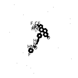 C[C@]12C[C@H](c3ccc(C#CCNC(=O)Nc4ccc(F)cc4)cc3)C3=C4CCC(=O)C=C4CCC3C1CC[C@@]2(O)C(F)(F)C(F)(F)F